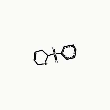 O=S(=O)(c1ccccc1)C1CC=CCN1